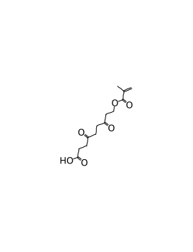 C=C(C)C(=O)OCCC(=O)CCC(=O)CCC(=O)O